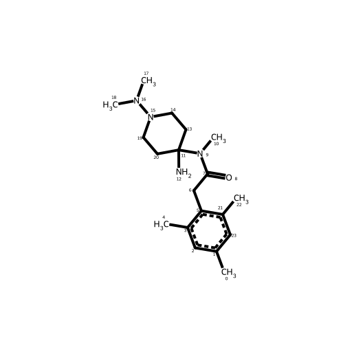 Cc1cc(C)c(CC(=O)N(C)C2(N)CCN(N(C)C)CC2)c(C)c1